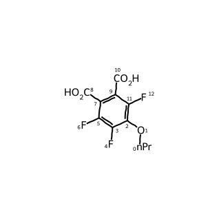 CCCOc1c(F)c(F)c(C(=O)O)c(C(=O)O)c1F